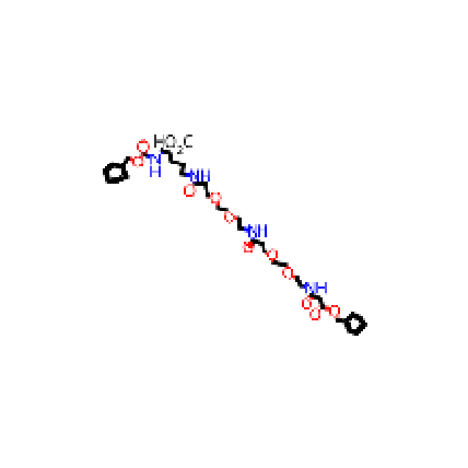 O=C(CCOCCOCCNC(=O)CCOCCOCCNC(=O)CC(=O)OCc1ccccc1)NCCCC[C@H](NC(=O)OCc1ccccc1)C(=O)O